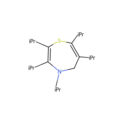 CC(C)C1=C(C(C)C)SC(C(C)C)=C(C(C)C)N(C(C)C)C1